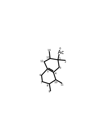 CC(=O)C1(C)CC2=C(CCC(C)C2C)CC1C